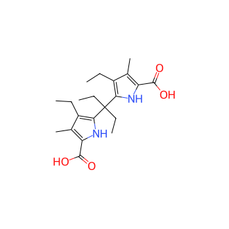 CCc1c(C(CC)(CC)c2[nH]c(C(=O)O)c(C)c2CC)[nH]c(C(=O)O)c1C